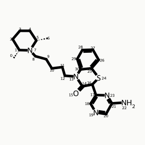 C[C@@H]1CCC[C@H](C)N1CCCCCN1C(=O)C(c2cncc(N)n2)Sc2ccccc21